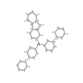 c1ccc(-c2ccc(N(c3cccc(-c4ccccc4)c3)c3ccc4c(c3)oc3cccnc34)cc2)cc1